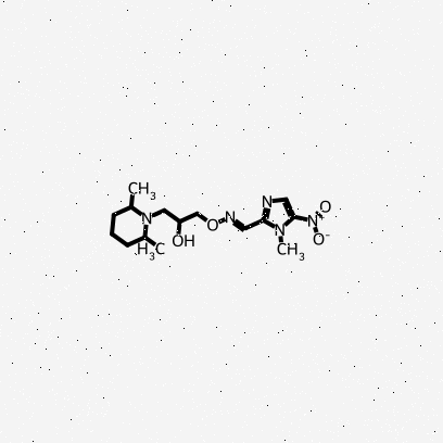 CC1CCCC(C)N1CC(O)CON=Cc1ncc([N+](=O)[O-])n1C